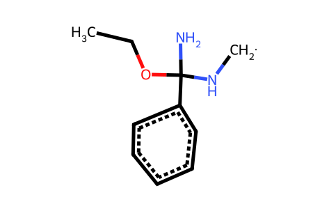 [CH2]NC(N)(OCC)c1ccccc1